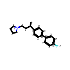 CC(CCN1CCCC1)c1ccc(-c2ccc(F)cc2)cc1